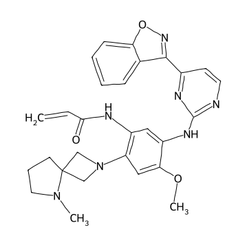 C=CC(=O)Nc1cc(Nc2nccc(-c3noc4ccccc34)n2)c(OC)cc1N1CC2(CCCN2C)C1